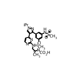 CC(C)n1cc(-c2ccnc(NC[C@H](C)N(C)C(=O)O)n2)c(-c2cc(Cl)cc(NS(C)(=O)=O)c2)n1